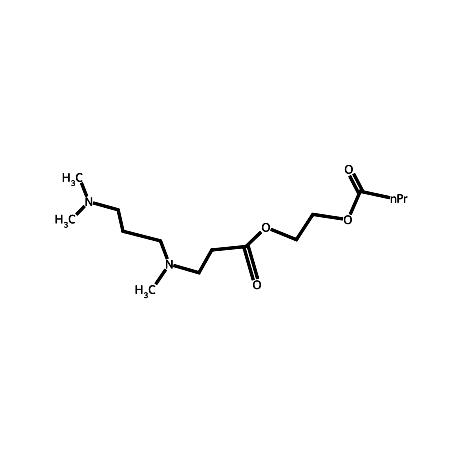 CCCC(=O)OCCOC(=O)CCN(C)CCCN(C)C